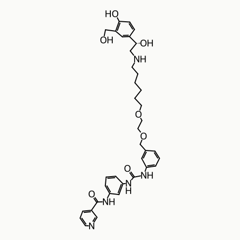 O=C(Nc1cccc(COCCOCCCCCCNC[C@@H](O)c2ccc(O)c(CO)c2)c1)Nc1cccc(NC(=O)c2cccnc2)c1